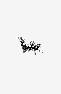 Cc1c(-c2[nH]c3sc([C@H]4CC5CC[C@H]4CN5Cc4cn(C)nn4)c(C)c3c2C(C)C)cn2ncnc2c1C